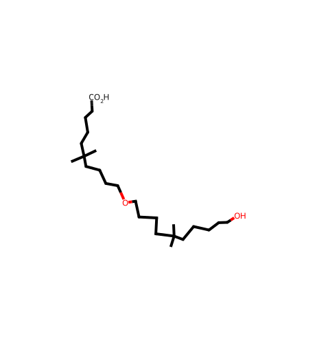 CC(C)(CCCCCO)CCCCOCCCCC(C)(C)CCCCC(=O)O